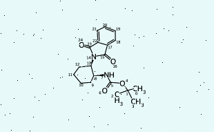 CC(C)(C)OC(=O)N[C@H]1CCCC[C@H]1N1C(=O)c2ccccc2C1=O